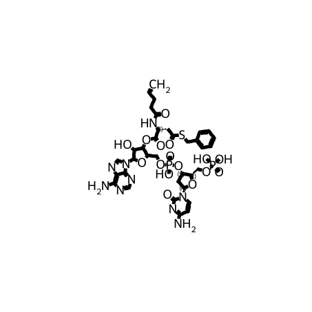 C=CCCC(=O)N[C@H](CC(=O)SCc1ccccc1)C(=O)OC1C(COP(=O)(O)O[C@H]2C[C@H](n3ccc(N)nc3=O)O[C@@H]2COP(=O)(O)O)OC(n2cnc3c(N)ncnc32)C1O